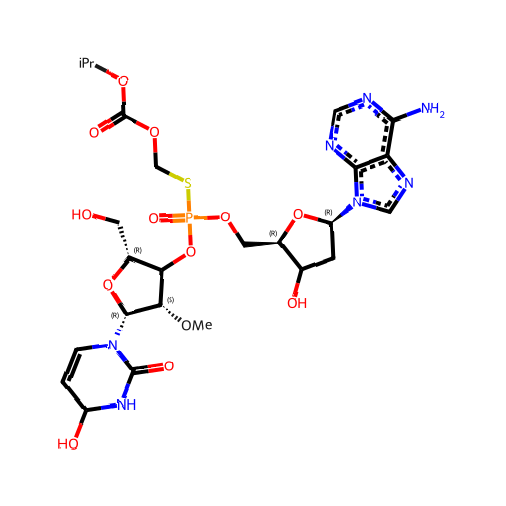 CO[C@H]1C(OP(=O)(OC[C@H]2O[C@@H](n3cnc4c(N)ncnc43)CC2O)SCOC(=O)OC(C)C)[C@@H](CO)O[C@H]1N1C=CC(O)NC1=O